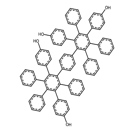 Oc1ccc(-c2c(-c3ccccc3)c(-c3ccccc3)c(-c3ccc(-c4c(-c5ccccc5)c(-c5ccc(O)cc5)c(-c5ccccc5)c(-c5ccccc5)c4-c4ccc(O)cc4)cc3)c(-c3ccc(O)cc3)c2-c2ccccc2)cc1